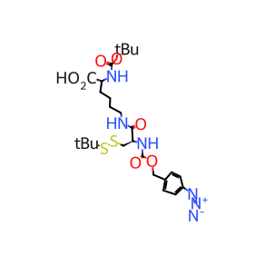 CC(C)(C)OC(=O)NC(CCCCNC(=O)[C@H](CSSC(C)(C)C)NC(=O)OCc1ccc(N=[N+]=[N-])cc1)C(=O)O